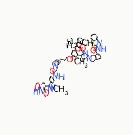 Cc1c(OCCC[C@H]2CCCN(CC(=O)Nc3ccc4c(C5CCC(=O)NC5=O)nn(C)c4c3)C2)cccc1-c1ccc(N2CCc3cccc(C(=O)Nc4nc5ccccc5s4)c3C2)nc1C(=O)OC(C)(C)C